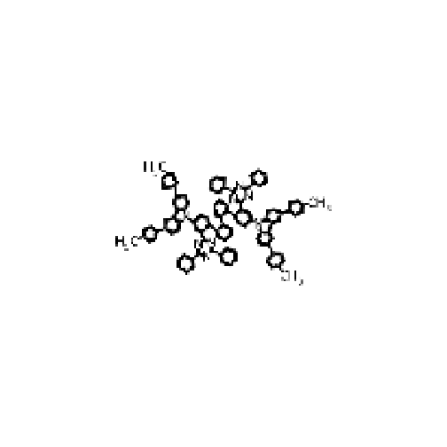 Cc1ccc(-c2ccc3c(c2)c2cc(-c4ccc(C)cc4)ccc2n3-c2ccc(-c3ccccc3-c3ccccc3-c3ccc(-n4c5ccc(-c6ccc(C)cc6)cc5c5cc(-c6ccc(C)cc6)ccc54)cc3-c3nc(-c4ccccc4)nc(-c4ccccc4)n3)c(-c3nc(-c4ccccc4)nc(-c4ccccc4)n3)c2)cc1